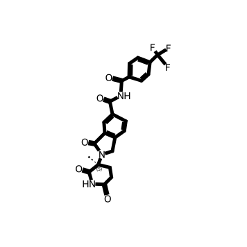 C[C@]1(N2Cc3ccc(C(=O)NC(=O)c4ccc(C(F)(F)F)cc4)cc3C2=O)CCC(=O)NC1=O